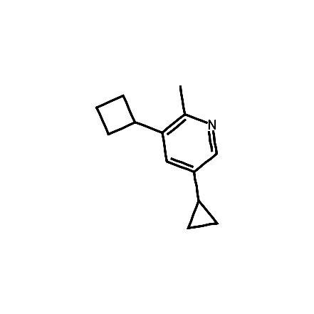 Cc1ncc(C2CC2)cc1C1CCC1